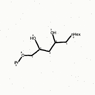 CCCCCCCC(O)CC(O)COC(C)C